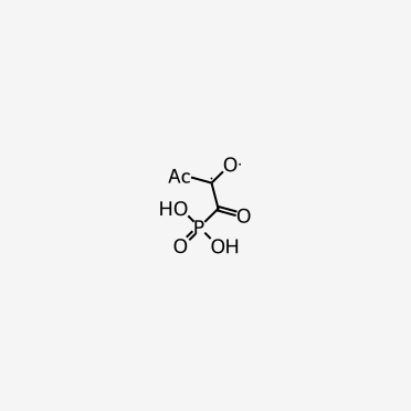 CC(=O)[C]([O])C(=O)P(=O)(O)O